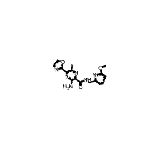 COc1cccc(CNC(=O)c2nc(C)c(-c3ncco3)nc2N)n1